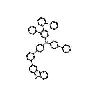 c1ccc(-c2ccc(N(c3ccc(-c4cccc(-c5ccc6sc7ccccc7c6c5)c4)cc3)c3ccc(-c4ccccc4-c4ccccc4)c(-c4ccccc4)c3)cc2)cc1